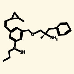 CCCN(S)c1cc(/C=C\C2CC2C)cc(COC[C@](C)(N)Cc2ccccc2)c1